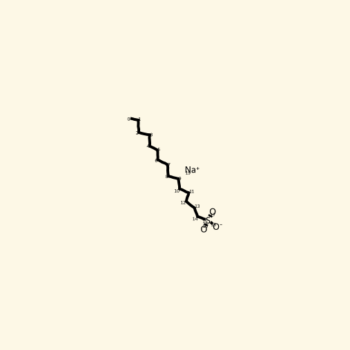 CCCCCCCCCCCCCCCS(=O)(=O)[O-].[Na+]